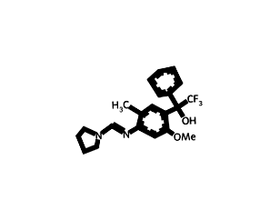 COc1cc(/N=C/N2CCCC2)c(C)cc1C(O)(c1ccccc1)C(F)(F)F